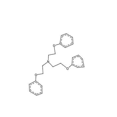 c1ccc(OCCN(CCOc2ccccc2)CCOc2ccccc2)cc1